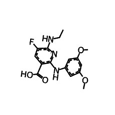 CCNc1nc(Nc2cc(OC)cc(OC)c2)c(C(=O)O)cc1F